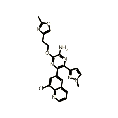 Cc1nc(CCOc2nc(-c3cc(Cl)c4ncccc4c3)c(-c3ccn(C)n3)nc2N)co1